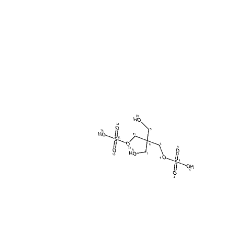 O=S(=O)(O)OCC(CO)(CO)COS(=O)(=O)O